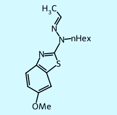 C/C=N/N(CCCCCC)c1nc2ccc(OC)cc2s1